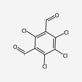 O=[C]c1c(Cl)c(Cl)c(Cl)c([C]=O)c1Cl